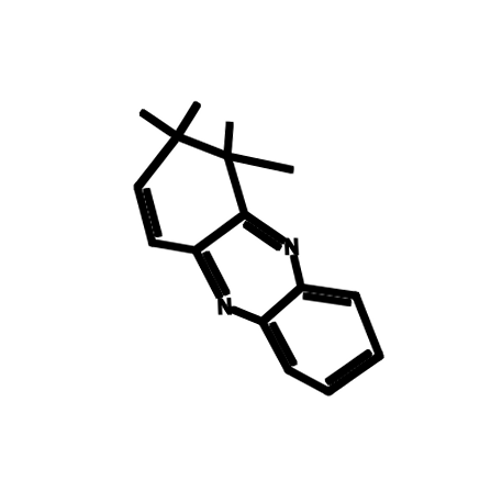 CC1(C)C=Cc2nc3ccccc3nc2C1(C)C